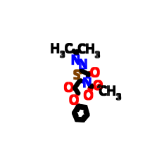 COC(=O)N1C(=O)C(=NN=C(C)C)SC1C(=O)COc1ccccc1